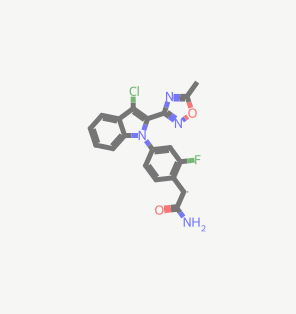 Cc1nc(-c2c(Cl)c3ccccc3n2-c2ccc([CH]C(N)=O)c(F)c2)no1